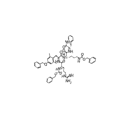 Cc1cc(OCc2ccccc2)cc(C)c1C[C@H](NC(=O)[C@@H](CCCNC(=N)N)NC(=O)OCc1ccccc1)C(=O)N[C@@H](CCCCNC(=O)OCc1ccccc1)C(=O)N[C@@H](Cc1ccccc1)C(N)=O